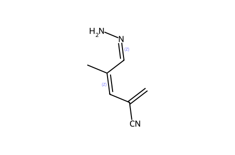 C=C(C#N)/C=C(C)\C=N/N